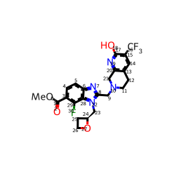 COC(=O)c1ccc2nc(CN3CCc4cc(C(F)(F)F)c(O)nc4C3)n(C[C@@H]3CCO3)c2c1F